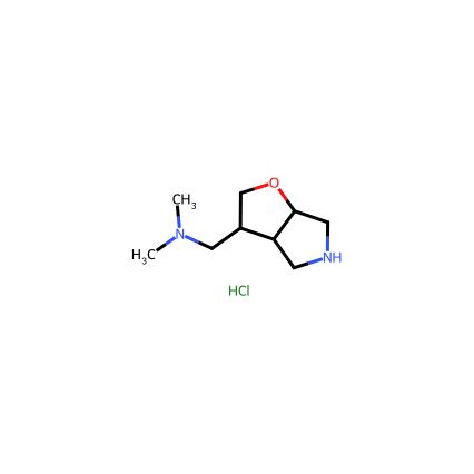 CN(C)CC1COC2CNCC12.Cl